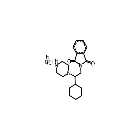 Cl.Cl.O=C1c2ccccc2C(=O)N1CC(C1CCCCC1)N1CCNCC1